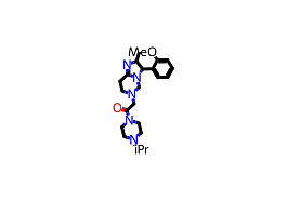 COc1ccccc1C1C(C)N=C2CCN(CC(=O)N3CCN(C(C)C)CC3)CN21